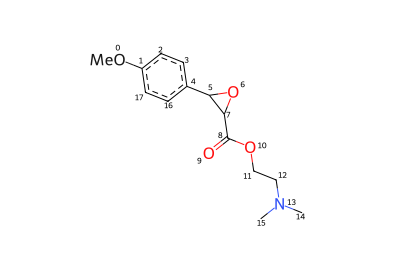 COc1ccc(C2OC2C(=O)OCCN(C)C)cc1